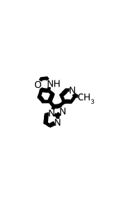 Cc1cc(-c2nc3ncccn3c2-c2ccc3c(c2)NCCO3)ccn1